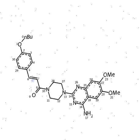 CCCCOc1ccc(/C=C/C(=O)N2CCN(c3nc(N)c4cc(OC)c(OC)cc4n3)CC2)cc1